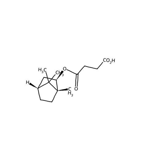 CC1(C)[C@@H]2CC[C@@]1(C)[C@H](OC(=O)CCC(=O)O)C2